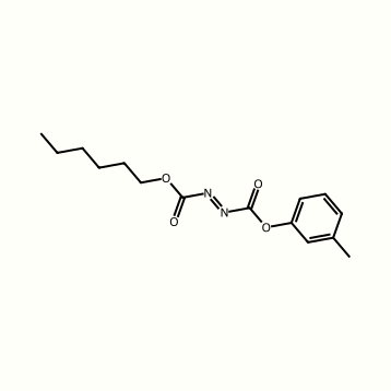 CCCCCCOC(=O)/N=N/C(=O)Oc1cccc(C)c1